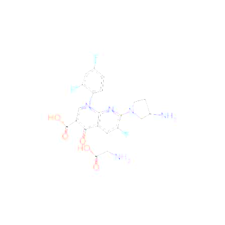 NC1CCN(c2nc3c(cc2F)c(=O)c(C(=O)O)cn3-c2ccc(F)cc2F)C1.NCC(=O)O